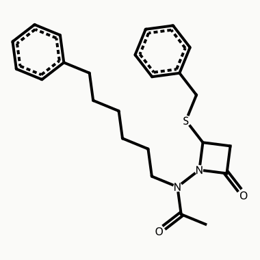 CC(=O)N(CCCCCCc1ccccc1)N1C(=O)CC1SCc1ccccc1